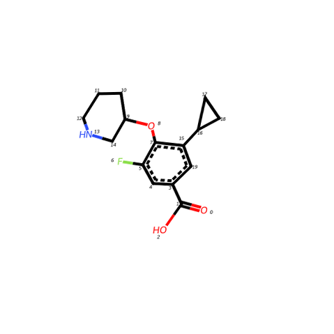 O=C(O)c1cc(F)c(OC2CCCNC2)c(C2CC2)c1